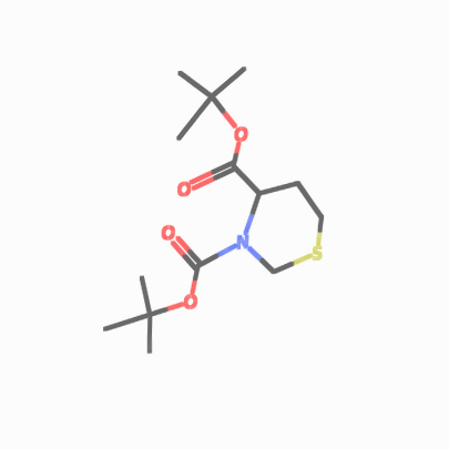 CC(C)(C)OC(=O)C1CCSCN1C(=O)OC(C)(C)C